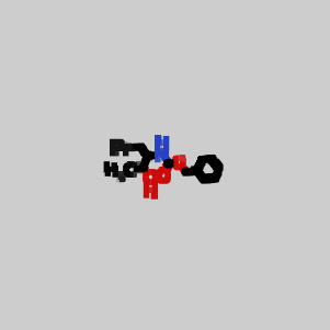 CC(C)CC(NC(=O)OCc1ccccc1)[C@H](C)O